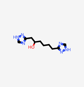 OC(CCCCc1nc[nH]n1)Cc1nc[nH]n1